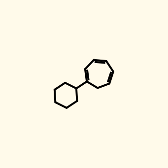 C1=CC=C(C2CCCCC2)CC=C1